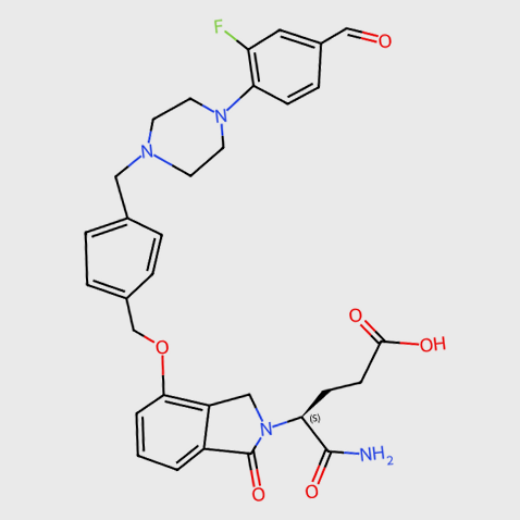 NC(=O)[C@H](CCC(=O)O)N1Cc2c(OCc3ccc(CN4CCN(c5ccc(C=O)cc5F)CC4)cc3)cccc2C1=O